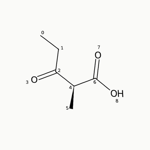 CCC(=O)[C@H](C)C(=O)O